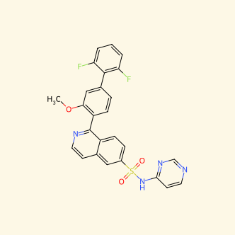 COc1cc(-c2c(F)cccc2F)ccc1-c1nccc2cc(S(=O)(=O)Nc3ccncn3)ccc12